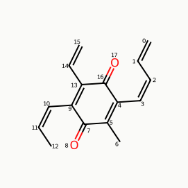 C=C/C=C\C1=C(C)C(=O)C(/C=C\C)=C(C=C)C1=O